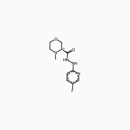 CN1CCOC[C@H]1C(=O)NNc1ccc(F)cn1